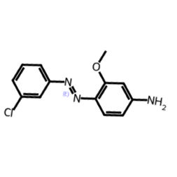 COc1cc(N)ccc1/N=N/c1cccc(Cl)c1